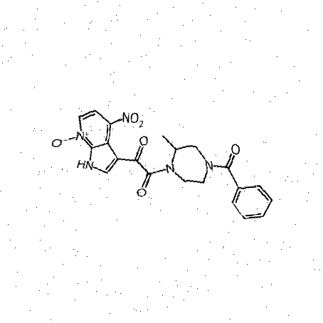 CC1CN(C(=O)c2ccccc2)CCN1C(=O)C(=O)c1c[nH]c2c1c([N+](=O)[O-])cc[n+]2[O-]